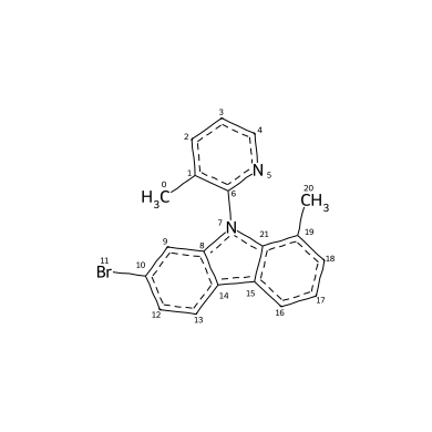 Cc1cccnc1-n1c2cc(Br)ccc2c2cccc(C)c21